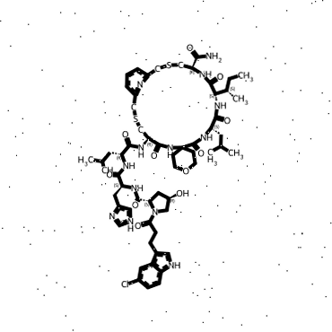 CC[C@H](C)[C@@H]1NC(=O)[C@H](CC(C)C)NC(=O)C2(CCOCC2)NC(=O)[C@@H](NC(=O)[C@@H](CC(C)C)NC(=O)[C@H](Cc2c[nH]cn2)NC(=O)[C@@H]2C[C@@H](O)CN2C(=O)CCc2c[nH]c3ccc(Cl)cc23)CSCc2cccc(n2)CSC[C@@H](C(N)=O)NC1=O